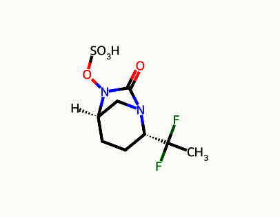 CC(F)(F)[C@@H]1CC[C@@H]2CN1C(=O)N2OS(=O)(=O)O